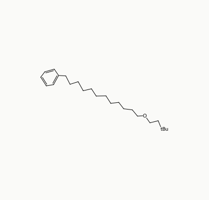 CC(C)(C)CCOCCCCCCCCCCCCc1ccccc1